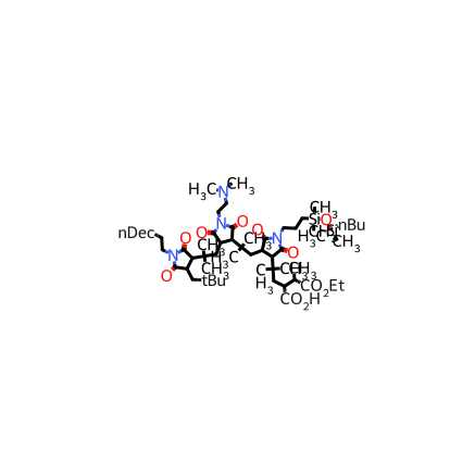 CCCCCCCCCCCCN1C(=O)C(CC(C)(C)C)C(C(C)(C)CC2C(=O)N(CCN(C)C)C(=O)C2C(C)(C)CC2C(=O)N(CCC[Si](C)(C)O[Si](C)(C)CCCC)C(=O)C2C(C)(C)CC(C(=O)O)C(C)C(=O)OCC)C1=O